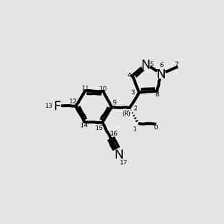 CC[C@@H](c1cnn(C)c1)c1ccc(F)cc1C#N